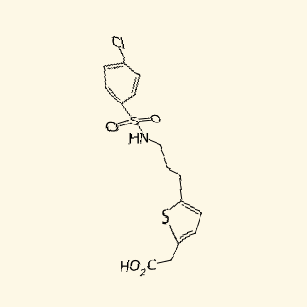 O=C(O)Cc1ccc(CCCNS(=O)(=O)c2ccc(Cl)cc2)s1